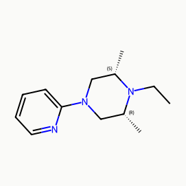 CCN1[C@H](C)CN(c2ccccn2)C[C@@H]1C